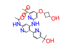 CC(=O)Nc1cc(Nc2cc(OC3CC(O)C3)cc(S(C)(=O)=O)n2)c(-c2ccc(C(C)(C)O)cn2)cn1